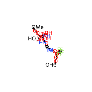 COCCOCCOCCOC1(C(=O)O)CC(O)C(NC(=O)CO)C([C@H](O)[C@H](O)CNC(=O)Cc2ccc(-c3cn(CCOCC(OCCOCCOCCC=O)Oc4c(F)c(F)c(F)c(F)c4F)nn3)cc2)O1